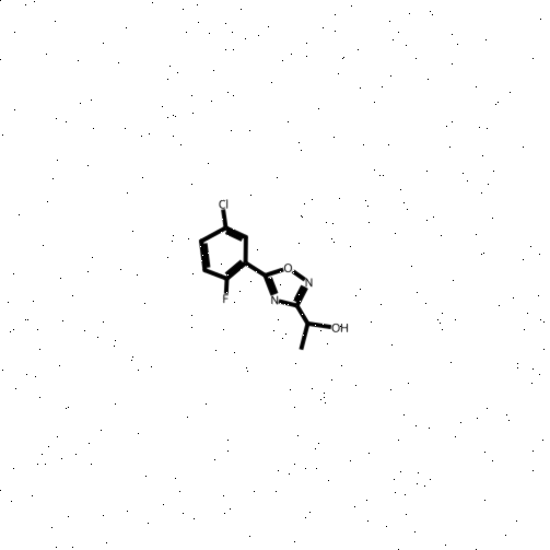 CC(O)c1noc(-c2cc(Cl)ccc2F)n1